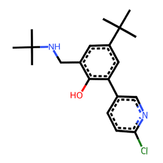 CC(C)(C)NCc1cc(C(C)(C)C)cc(-c2ccc(Cl)nc2)c1O